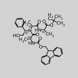 C[C@H](NC(=O)OCC1c2ccccc2-c2ccccc21)C(=O)N([C@@H](C)C(=O)N[C@H](C)C(=O)OC(C)(C)C)[C@@H](CO)c1ccccc1